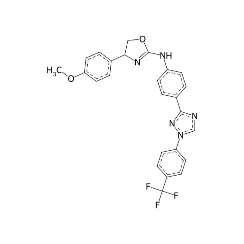 COc1ccc(C2COC(Nc3ccc(-c4ncn(-c5ccc(C(F)(F)F)cc5)n4)cc3)=N2)cc1